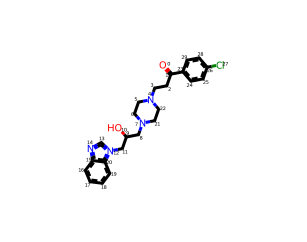 O=C(CCN1CCN(CC(O)Cn2cnc3ccccc32)CC1)c1ccc(Cl)cc1